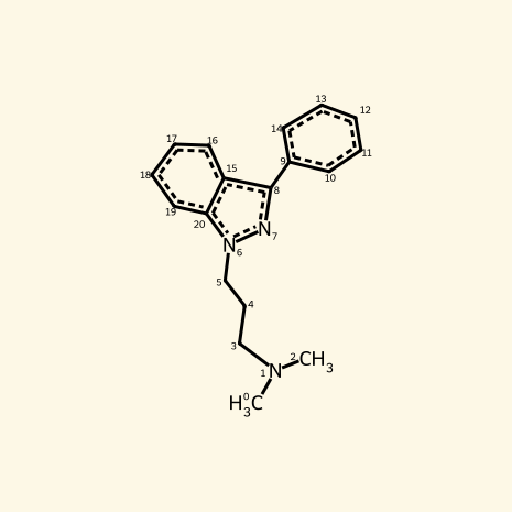 CN(C)CCCn1nc(-c2ccccc2)c2ccccc21